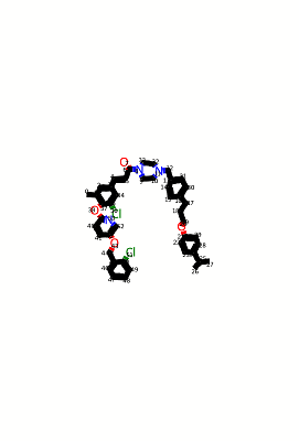 Cc1cc(C=CC(=O)N2CCN(Cc3ccc(CCCOc4ccc(C(C)C)cc4)cc3)CC2)cc(Cl)c1Oc1ccc(OCc2ccccc2Cl)cn1